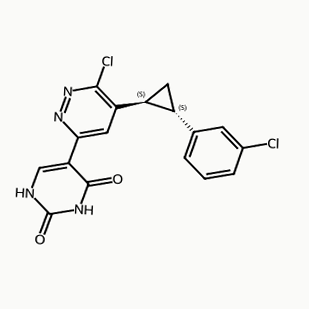 O=c1[nH]cc(-c2cc([C@H]3C[C@@H]3c3cccc(Cl)c3)c(Cl)nn2)c(=O)[nH]1